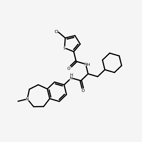 CN1CCc2ccc(NC(=O)C(CC3CCCCC3)NC(=O)c3ccc(Cl)s3)cc2CC1